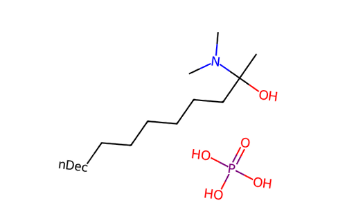 CCCCCCCCCCCCCCCCC(C)(O)N(C)C.O=P(O)(O)O